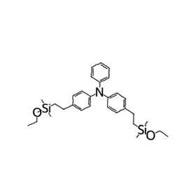 CCO[Si](C)(C)CCc1ccc(N(c2ccccc2)c2ccc(CC[Si](C)(C)OCC)cc2)cc1